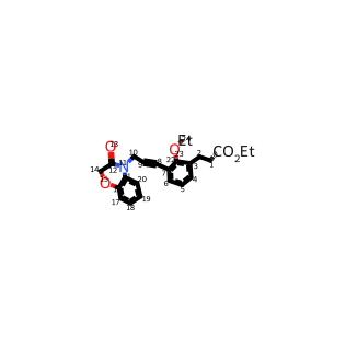 CCOC(=O)CCc1cccc(C#CCN2C(=O)COc3ccccc32)c1OCC